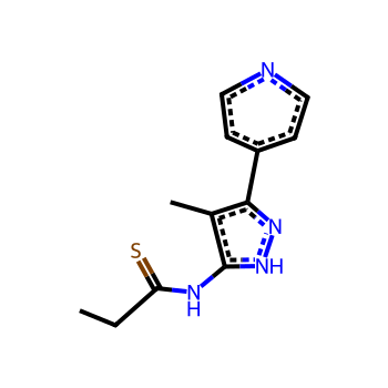 CCC(=S)Nc1[nH]nc(-c2ccncc2)c1C